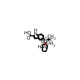 CC(C)(C)OC(=O)N1C2CC[C@H]1CC(Oc1ccc3[nH]c(C(=O)O)cc3c1)C2